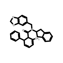 CC1=CC=CC(c2ccccc2)C1C(=O)N(Cc1ccc2c(c1)OCO2)C1Cc2ccccc2C1